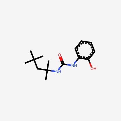 CC(C)(C)CC(C)(C)NC(=O)Nc1ccccc1O